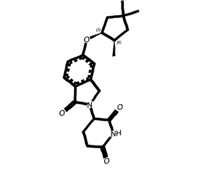 C[C@@H]1CC(C)(C)C[C@@H]1Oc1ccc2c(c1)CN(C1CCC(=O)NC1=O)C2=O